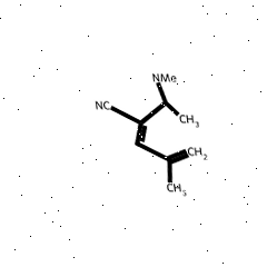 C=C(C)/C=C(/C#N)C(C)NC